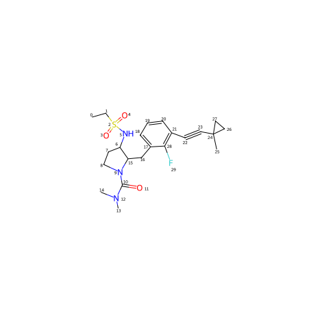 CCS(=O)(=O)NC1CCN(C(=O)N(C)C)C1Cc1cccc(C#CC2(C)CC2)c1F